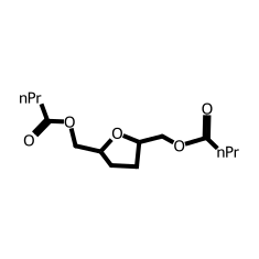 CCCC(=O)OCC1CCC(COC(=O)CCC)O1